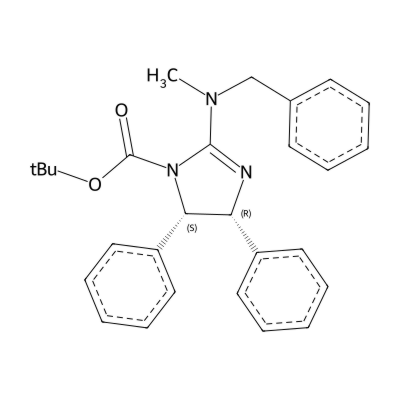 CN(Cc1ccccc1)C1=N[C@H](c2ccccc2)[C@H](c2ccccc2)N1C(=O)OC(C)(C)C